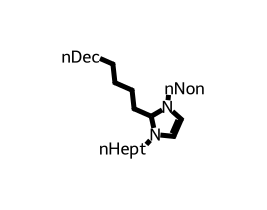 CCCCCCCCCCCCCCC1N(CCCCCCC)C=CN1CCCCCCCCC